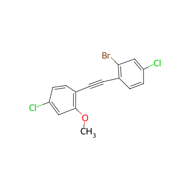 COc1cc(Cl)ccc1C#Cc1ccc(Cl)cc1Br